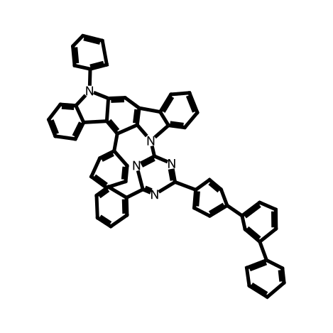 c1ccc(-c2cccc(-c3ccc(-c4nc(-c5ccccc5)nc(-n5c6ccccc6c6cc7c(c(-c8ccccc8)c65)c5ccccc5n7-c5ccccc5)n4)cc3)c2)cc1